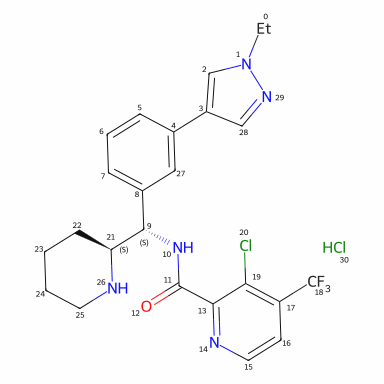 CCn1cc(-c2cccc([C@H](NC(=O)c3nccc(C(F)(F)F)c3Cl)[C@@H]3CCCCN3)c2)cn1.Cl